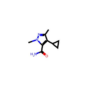 Cc1nn(C)c(C(N)=O)c1C1CC1